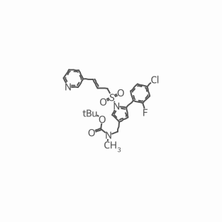 CN(Cc1cc(-c2ccc(Cl)cc2F)n(S(=O)(=O)CC=Cc2cccnc2)c1)C(=O)OC(C)(C)C